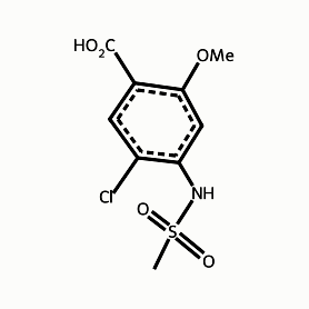 COc1cc(NS(C)(=O)=O)c(Cl)cc1C(=O)O